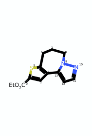 CCOC(=O)c1cc2c(s1)CCCn1nccc1-2